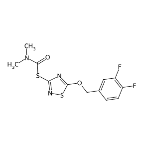 CN(C)C(=O)Sc1nsc(OCc2ccc(F)c(F)c2)n1